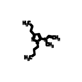 C=CN(C)c1cc(CCC)nn1CCCC